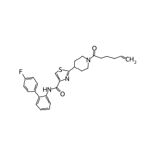 C=CCCCC(=O)N1CCC(c2nc(C(=O)Nc3ccccc3-c3ccc(F)cc3)cs2)CC1